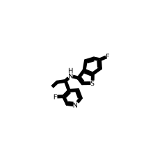 CCC(Nc1csc2cc(F)ccc12)c1ccncc1F